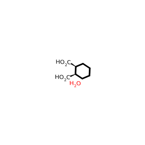 O.O=C(O)[C@H]1CCCC[C@H]1C(=O)O